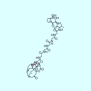 CC(C)[C@H](NC(=O)CNC(=O)CNC(=O)CNC(=O)CNC(=O)CNC(=O)CC[C@@H]1C(=O)OC23CC(=O)CN4CCN(CCN1CCN(CC4)CC(=O)O2)CC(=O)O3)C(=O)N[C@H](C)C(=O)N1CCC[C@H]1B(O)O